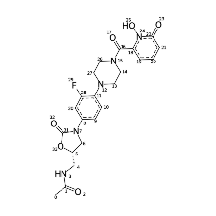 CC(=O)NC[C@H]1CN(c2ccc(N3CCN(C(=O)c4cccc(=O)n4O)CC3)c(F)c2)C(=O)O1